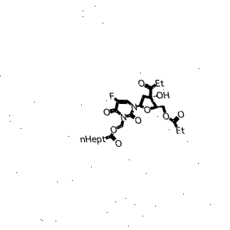 CCCCCCCC(=O)OCn1c(=O)c(F)cn([C@H]2C[C@@](O)(C(=O)CC)[C@@H](COC(=O)CC)O2)c1=O